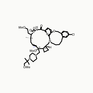 COCCC1[C@@H](C)C/C=C/[C@](CN2CCN(C(C)(C)COC)CC2)(OC)C2CC[C@H]2CN2CCCCc3cc(Cl)ccc3COc3ccc(nc32)C(=O)NS1(=O)=O